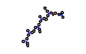 CC1(C)c2cc(-c3ccc4c(c3)c3ccccc3n4-c3ccccc3)ccc2-c2ccc(N(c3ccc(-c4ccccc4)cc3)c3ccc(-c4cccc5cc(N(c6ccccc6)c6ccc(-c7ccc(N(c8cccc(-c9ccc%10ccc(N(c%11ccccc%11)c%11ccc(-c%12ccc(N(c%13ccccc%13)c%13ccc%14ccccc%14c%13)cc%12)cc%11)cc%10c9)c8)c8ccc9ccccc9c8)cc7)cc6)ccc45)cc3)cc21